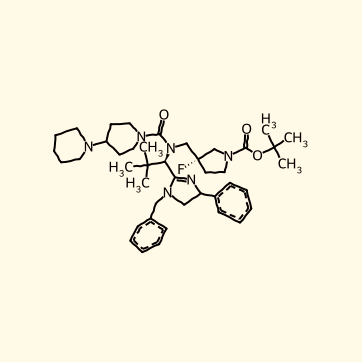 CC(C)(C)OC(=O)N1CC[C@@](F)(CN(C(=O)N2CCC(N3CCCCC3)CC2)[C@@H](C2=NC(c3ccccc3)CN2Cc2ccccc2)C(C)(C)C)C1